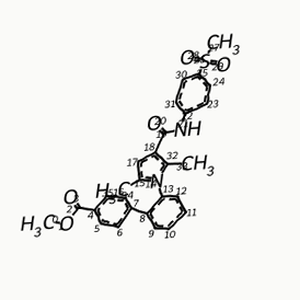 COC(=O)c1ccc(-c2ccccc2-n2c(C)cc(C(=O)Nc3ccc(S(C)(=O)=O)cc3)c2C)cc1